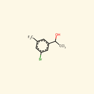 OC(c1cc(Br)cc(C(F)(F)F)c1)C(Cl)(Cl)Cl